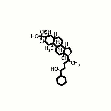 C[C@H](CC[C@@H](O)C1CCCCC1)[C@H]1CC[C@H]2[C@@H]3CC[C@H]4C[C@](O)(C(C)(C)O)CC[C@]4(C)[C@H]3CC[C@]12C